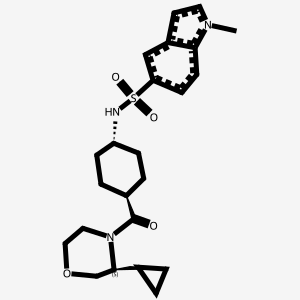 Cn1ccc2cc(S(=O)(=O)N[C@H]3CC[C@H](C(=O)N4CCOC[C@@H]4C4CC4)CC3)ccc21